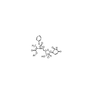 CC(C)OC(=O)[C@@H](C)N[P@@](=O)(OC[C@H]1O[C@@H](n2ccc(=O)[nH]c2=O)[C@](F)(Cl)[C@@H]1O)Oc1ccccc1